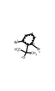 CC(C)([O])c1c(Br)cccc1Br